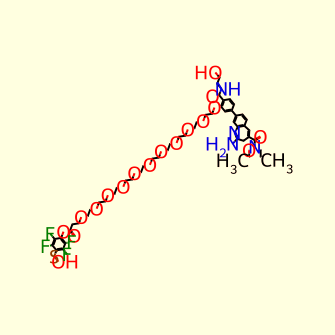 CCCN(OCC)C(=O)C1=Cc2ccc(-c3ccc(C(=O)NCCO)c(OCCOCCOCCOCCOCCOCCOCCOCCOCCOCCOCCC(=O)Oc4c(F)c(F)c(SO)c(F)c4F)c3)cc2N=C(N)C1